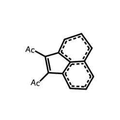 CC(=O)C1=C(C(C)=O)c2cccc3cccc1c23